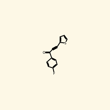 O=C(C#Cc1cccs1)c1ccc(F)cc1